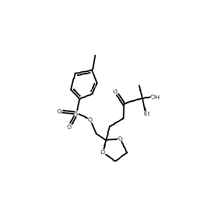 CCC(C)(O)C(=O)CCC1(COS(=O)(=O)c2ccc(C)cc2)OCCO1